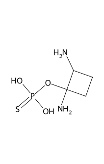 NC1CCC1(N)OP(O)(O)=S